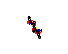 O=C1c2cc3ccccc3cc2C(=O)C1Nc1nc2c(s1)C1=CC3C=C4OC5(CCCCC5)c5nc(N=c6c(=O)c7cc8ccccc8cc7c6=O)sc5C4=CC3C=C1OC21CCCCC1